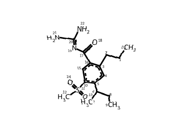 CCCc1cc(C(C)CC)c(S(C)(=O)=O)cc1C(=O)N=C(N)N